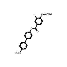 CCCCCCCCc1ccc(-c2ccc(OC(=O)c3ccc(OCCCCC)c(F)c3)cc2)cc1